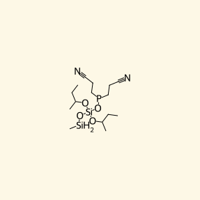 CCC(C)O[Si](O[SiH2]C)(OC(C)CC)OP(CCC#N)CCC#N